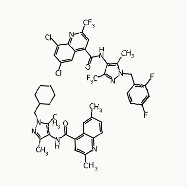 Cc1c(NC(=O)c2cc(C(F)(F)F)nc3c(Cl)cc(Cl)cc23)c(C(F)(F)F)nn1Cc1ccc(F)cc1F.Cc1ccc2nc(C)cc(C(=O)Nc3c(C)nn(CC4CCCCC4)c3C)c2c1